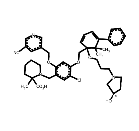 CC1(C(=O)O)CCCCN1Cc1cc(Cl)c(OCC2(OCCCN3CC[C@@H](O)C3)C=CC=C(c3ccccc3)C2(C)C)cc1OCc1cncc(C#N)c1